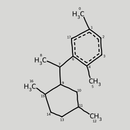 Cc1ccc(C)c(C(C)C2CC(C)CCC2C)c1